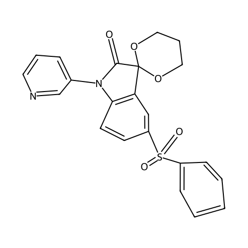 O=C1N(c2cccnc2)c2ccc(S(=O)(=O)c3ccccc3)cc2C12OCCCO2